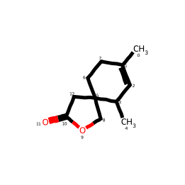 CC1=CC(C)C2(CC1)COC(=O)C2